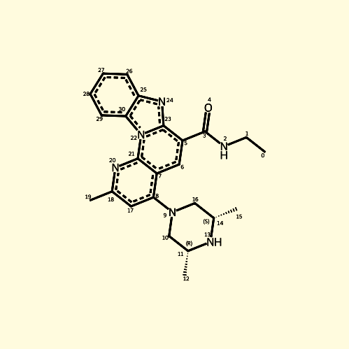 CCNC(=O)c1cc2c(N3C[C@@H](C)N[C@@H](C)C3)cc(C)nc2n2c1nc1ccccc12